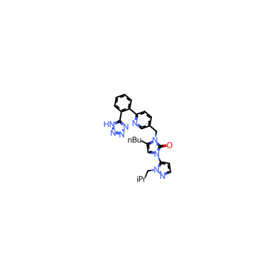 CCCCc1cn(-c2ccnn2CC(C)C)c(=O)n1Cc1ccc(-c2ccccc2-c2nnn[nH]2)nc1